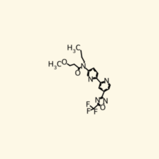 CCCCN(C(=O)CCOC)c1ccc(-c2cc(-c3noc(C(F)(F)F)n3)ccn2)nc1